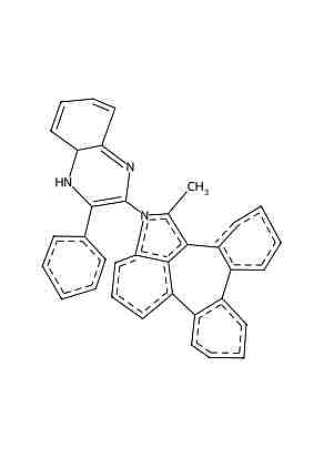 Cc1c2c3c(cccc3n1C1=C(c3ccccc3)NC3C=CC=CC3=N1)-c1ccccc1-c1ccccc1-2